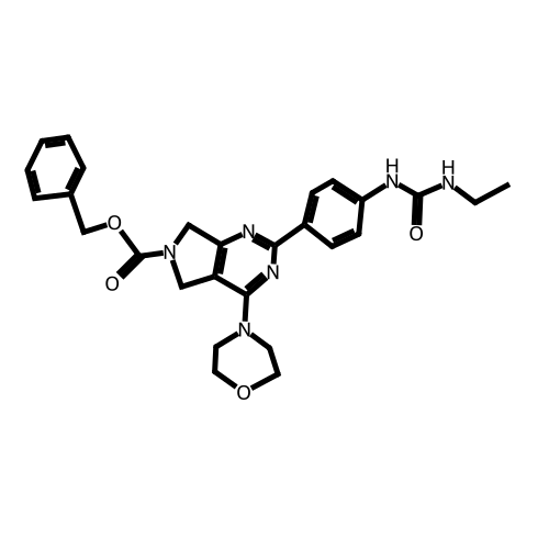 CCNC(=O)Nc1ccc(-c2nc3c(c(N4CCOCC4)n2)CN(C(=O)OCc2ccccc2)C3)cc1